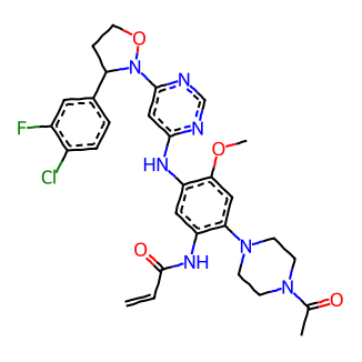 C=CC(=O)Nc1cc(Nc2cc(N3OCCC3c3ccc(Cl)c(F)c3)ncn2)c(OC)cc1N1CCN(C(C)=O)CC1